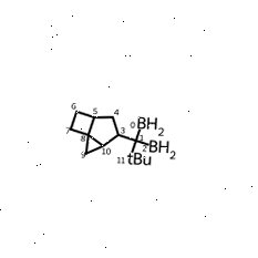 BC(B)(C1CC2CCC23CC13)C(C)(C)C